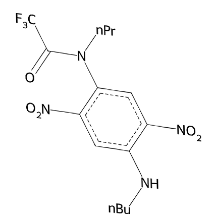 CCCCNc1cc([N+](=O)[O-])c(N(CCC)C(=O)C(F)(F)F)cc1[N+](=O)[O-]